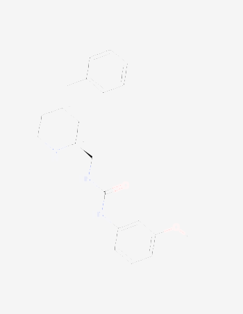 COc1cccc(NC(=O)NC[C@@H]2C[C@@H](Cc3ccccc3)CCN2)c1